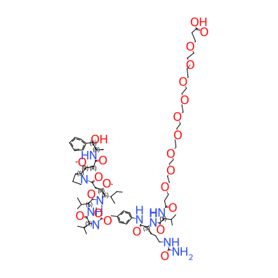 CCC(C)[C@@H]([C@@H](CC(=O)N1CCC[C@H]1[C@H](OC)[C@@H](C)C(=O)N[C@H](C)[C@@H](O)c1ccccc1)OC)N(C)C(=O)[C@@H](NC(=O)[C@H](C(C)C)N(C)C(=O)OCc1ccc(NC(=O)[C@H](CCCNC(N)=O)NC(=O)[C@@H](NC(=O)CCOCCOCCOCCOCCOCCOCCOCCOCCOCCC(=O)O)C(C)C)cc1)C(C)C